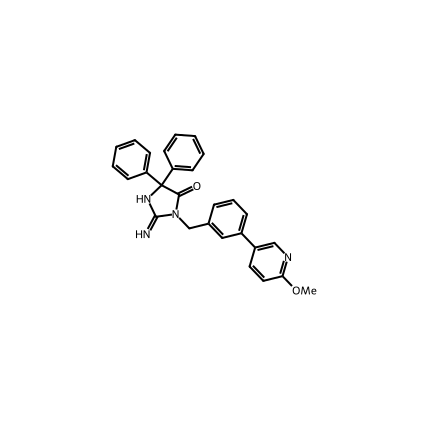 COc1ccc(-c2cccc(CN3C(=N)NC(c4ccccc4)(c4ccccc4)C3=O)c2)cn1